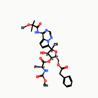 CCOC(C)(C)C(=O)Nc1ncnn2c([C@]3(C#N)O[C@H](COC(=O)Cc4ccccc4)[C@@H](OC(=O)[C@@H](NC(=O)OC(C)(C)C)C(C)C)[C@H]3O)ccc12